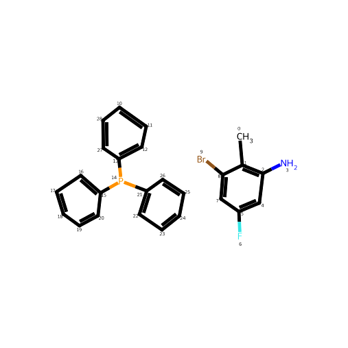 Cc1c(N)cc(F)cc1Br.c1ccc(P(c2ccccc2)c2ccccc2)cc1